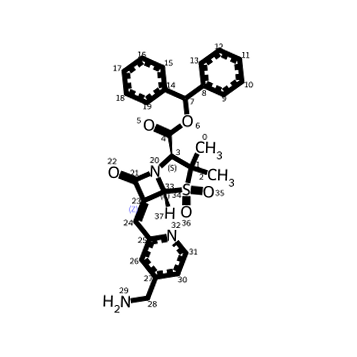 CC1(C)[C@H](C(=O)OC(c2ccccc2)c2ccccc2)N2C(=O)/C(=C/c3cc(CN)ccn3)[C@H]2S1(=O)=O